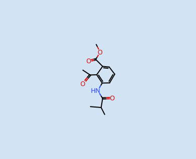 COC(=O)c1cccc(NC(=O)C(C)C)c1C(C)=O